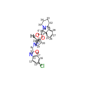 C[C@@](C(=O)O[C@H]1C[N+]2(Cc3nc4ccc(Cl)cc4o3)CCC1CC2)(c1ccccc1)N1CCCCC1